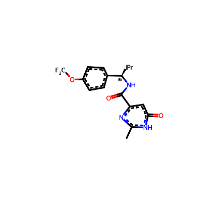 Cc1nc(C(=O)N[C@@H](c2ccc(OC(F)(F)F)cc2)C(C)C)cc(=O)[nH]1